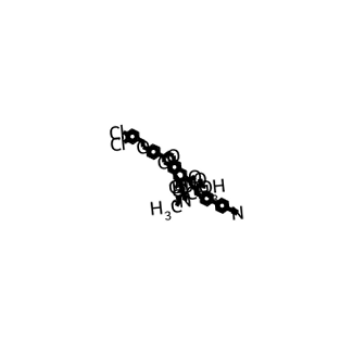 Cc1nc(C)c(S(=O)(=O)N2Cc3cc4c(cc3CC2C(=O)NC(Cc2ccc(-c3ccc(C#N)cc3)cc2)C(=O)O)OCC(c2ccc(OCc3ccc(Cl)c(Cl)c3)cc2)O4)s1